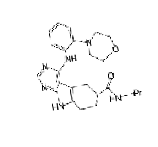 CC(C)NC(=O)C1CCc2[nH]c3ncnc(Nc4ccccc4N4CCOCC4)c3c2C1